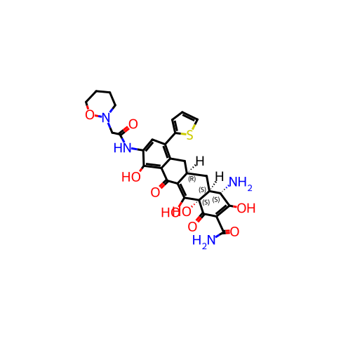 NC(=O)C1=C(O)[C@@H](N)[C@@H]2C[C@@H]3Cc4c(-c5cccs5)cc(NC(=O)CN5CCCCO5)c(O)c4C(=O)C3=C(O)[C@]2(O)C1=O